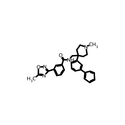 Cc1nc(-c2cccc(C(=O)NCC3(c4cccc(-c5ccccc5)c4)CCN(C)CC3)c2)no1